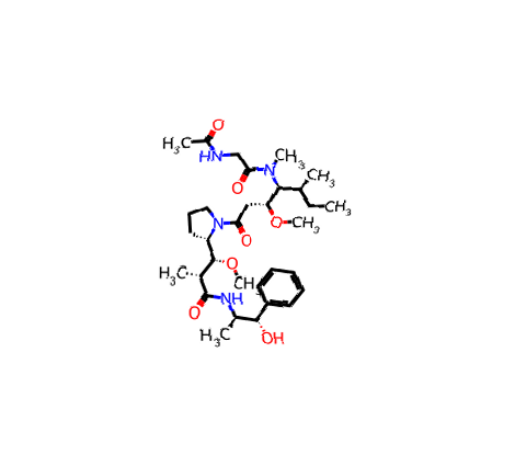 CC[C@H](C)[C@@H]([C@@H](CC(=O)N1CCC[C@H]1[C@H](OC)[C@@H](C)C(=O)N[C@H](C)[C@@H](O)c1ccccc1)OC)N(C)C(=O)CNC(C)=O